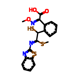 CON=C(C(=O)O)c1ccccc1C(S)C(=Nc1nc2ccccc2s1)SC